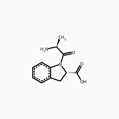 C[C@H](N)C(=O)N1c2ccccc2C[C@H]1C(=O)O